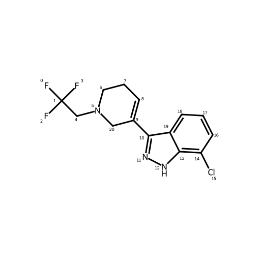 FC(F)(F)CN1CCC=C(c2n[nH]c3c(Cl)cccc23)C1